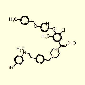 Cc1ccc(COc2ccc(Oc3c(C)cc(/C(=C\C=O)N4CCN(Cc5ccc(CCN(C)c6ccc(C(C)C)cc6)cc5)CC4)cc3Cl)nc2)cc1